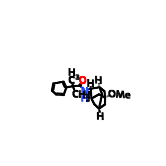 CO[C@]12C[C@H]3C[C@H](C[C@H](C1)[C@@H]3NC(=O)C(C)(C)c1ccccc1)C2